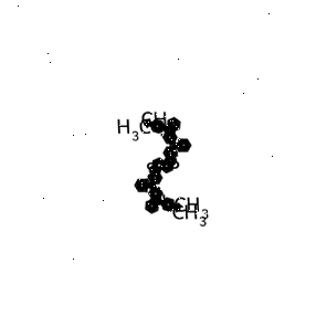 CC(C)c1ccc(-n2c3ccccc3c3cc(N(c4ccccc4)c4ccc5c(c4)sc4ccc6c(ccc7sc8cc(N(c9ccccc9)c9ccc%10c(c9)c9ccccc9n%10-c9ccc(C(C)C)cc9)ccc8c76)c45)ccc32)cc1